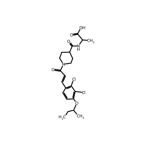 CCC(C)Oc1ccc(C=CC(=O)N2CCC(C(=O)NC(C)C(=O)O)CC2)c(Cl)c1Cl